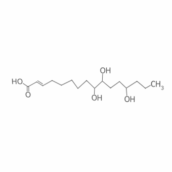 CCCC(O)CCC(O)C(O)CCCCCC=CC(=O)O